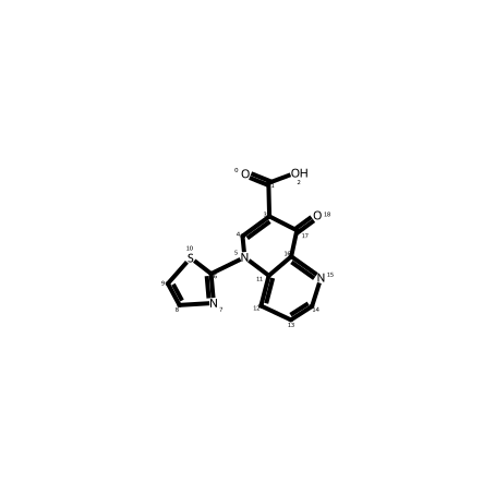 O=C(O)c1cn(-c2nccs2)c2cccnc2c1=O